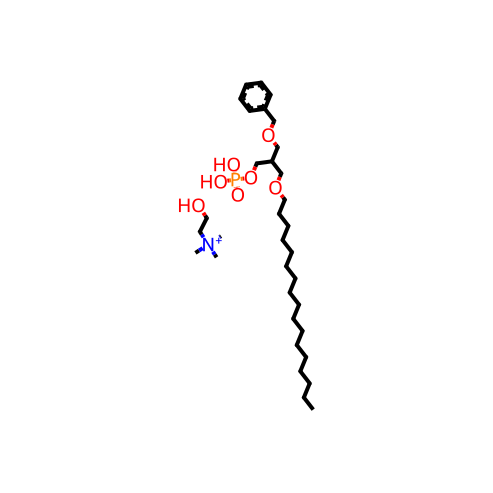 CCCCCCCCCCCCCCCCCOCC(COCc1ccccc1)COP(=O)(O)O.C[N+](C)(C)CCO